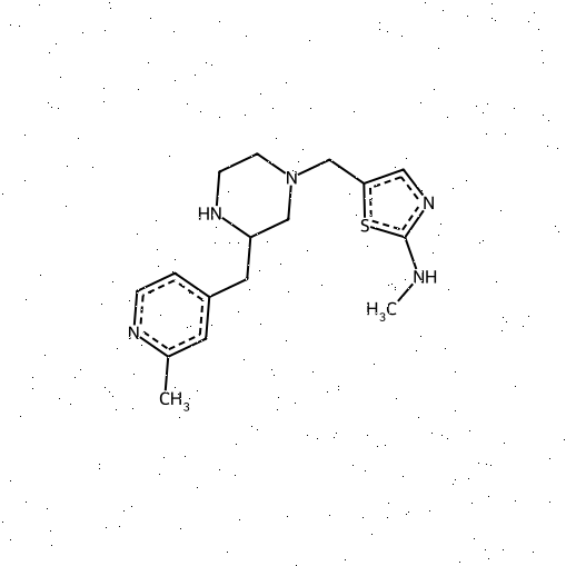 CNc1ncc(CN2CCNC(Cc3ccnc(C)c3)C2)s1